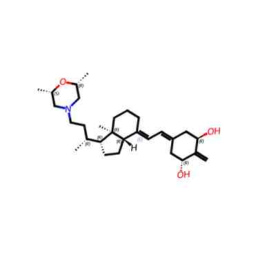 C=C1[C@H](O)CC(=C/C=C2\CCC[C@]3(C)[C@@H]([C@H](C)CCN4C[C@@H](C)O[C@@H](C)C4)CC[C@@H]23)C[C@H]1O